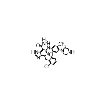 NC(=O)c1c(Nc2ccc(N3CCNCC3)c(C(F)(F)F)c2)nc(Cc2c(Cl)cccc2Cl)c2nc[nH]c12